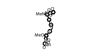 CNc1cc(-c2ccc(N3CCN(CC4CCN(c5cc(OC)c6c(c5)C(=O)N(C5CCC(=O)NC5=O)C6)CC4)CC3)cc2)c2oc3cccc(Cl)c3c(=O)c2n1